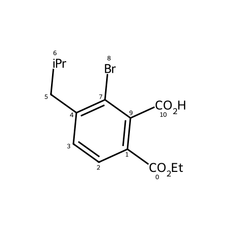 CCOC(=O)c1ccc(CC(C)C)c(Br)c1C(=O)O